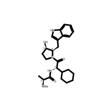 CN[C@@H](C)C(=O)N[C@H](C(=O)N1CC[C@@H](O)[C@H]1Cc1c[nH]c2ccccc12)C1CCCCC1